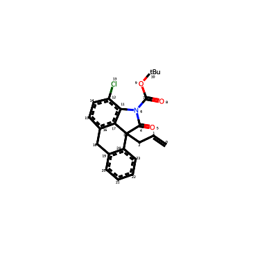 C=CCC12C(=O)N(C(=O)OC(C)(C)C)c3c(Cl)ccc(c31)Cc1ccccc12